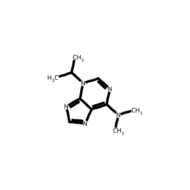 CC(C)n1cnc(N(C)C)c2ncnc1-2